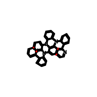 c1ccc(-c2ccccc2N2c3ccccc3B3c4ccccc4N(c4ccccc4-c4ccccn4)c4cccc2c43)nc1